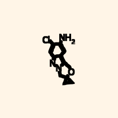 Nc1cc2c3n(nc2cc1Cl)CC1(CC1)OC3